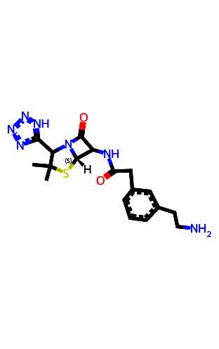 CC1(C)S[C@H]2C(NC(=O)Cc3cccc(CCN)c3)C(=O)N2C1c1nnn[nH]1